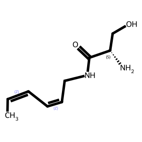 C/C=C\C=C/CNC(=O)[C@@H](N)CO